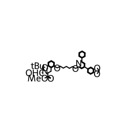 COC(=O)C(Cc1ccccc1OCCCCCOc1cc(-c2ccc3c(c2)OCO3)cc(-c2ccccc2)n1)N(C=O)OC(C)(C)C